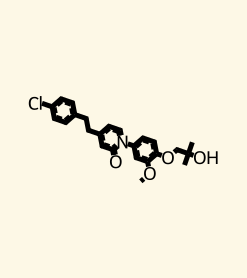 COc1cc(-n2ccc(CCc3ccc(Cl)cc3)cc2=O)ccc1OCC(C)(C)O